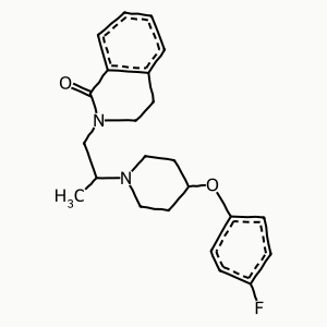 CC(CN1CCc2ccccc2C1=O)N1CCC(Oc2ccc(F)cc2)CC1